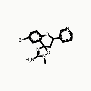 CN1OC2(CC(c3cccnc3)Oc3ccc(Br)cc32)N=C1N